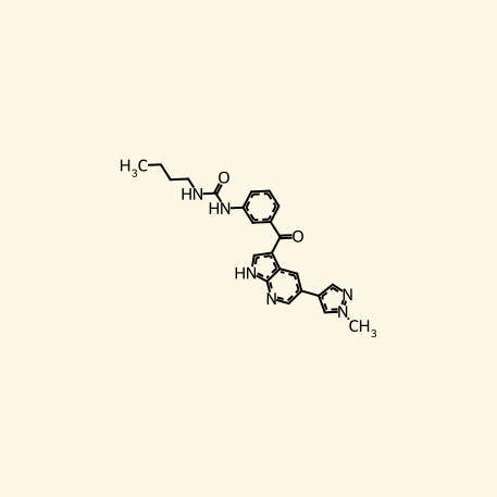 CCCCNC(=O)Nc1cccc(C(=O)c2c[nH]c3ncc(-c4cnn(C)c4)cc23)c1